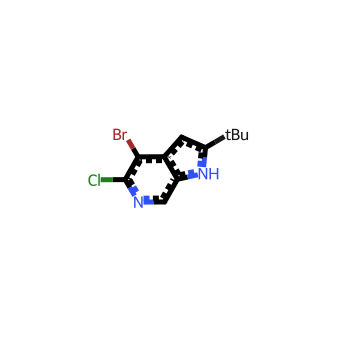 CC(C)(C)c1cc2c(Br)c(Cl)ncc2[nH]1